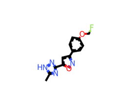 Cc1nc(-c2cc(-c3ccc(OCF)cc3)no2)n[nH]1